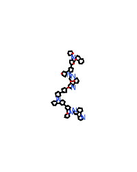 c1ccc(-n2c3ccc(-c4ccc5c(c4)c4ccccc4n5-c4cc5c6c(cccc6n4)-c4ncc(-c6ccc(-c7cccc(-n8c9ccccc9c9cc(-c%10ccc%11c(c%10)c%10ccccc%10n%11-c%10cc%11c%12c(cccc%12n%10)-c%10ncccc%10-%11)ccc98)c7)cc6)cc4-5)cc3c3c4ccccc4ccc32)cc1